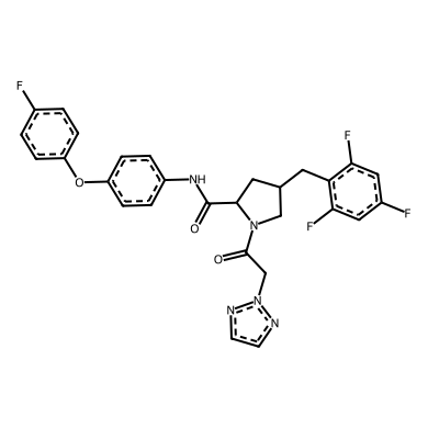 O=C(Nc1ccc(Oc2ccc(F)cc2)cc1)C1CC(Cc2c(F)cc(F)cc2F)CN1C(=O)Cn1nccn1